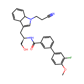 COc1ccc(-c2cccc(C(=O)N[C@@H](CO)CC3=CN(CCC#N)C4C=CC=CC34)c2)cc1F